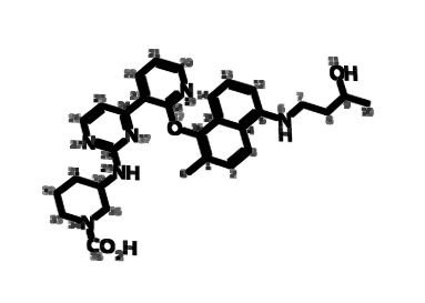 Cc1ccc2c(NCCC(C)O)cccc2c1Oc1ncccc1-c1ccnc(NC2CCCN(C(=O)O)C2)n1